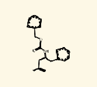 C=C(C)CC(Cc1ccccc1)NC(=O)OCc1ccccc1